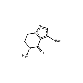 CNc1cnn2c1C(=O)N(C)CC2